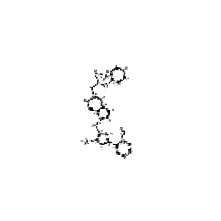 Cc1oc(-c2ccccc2Cl)nc1Cn1ccc2cc(CC(Oc3ccccc3)C(=O)O)ccc21